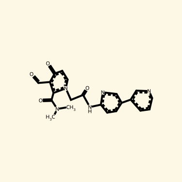 CN(C)C(=O)c1c(C=O)c(=O)ccn1CC(=O)Nc1ccc(-c2cccnc2)cn1